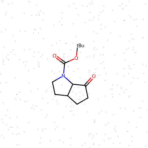 CC(C)(C)OC(=O)N1CCC2CCC(=O)C21